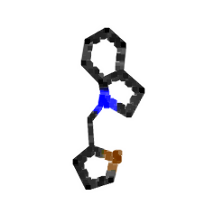 c1csc(Cn2ccc3ccccc32)c1